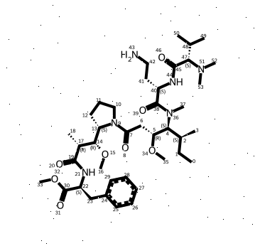 CC[C@H](C)[C@@H]([C@@H](CC(=O)N1CCC[C@H]1[C@H](OC)[C@@H](C)C(=O)N[C@@H](Cc1ccccc1)C(=O)OC)OC)N(C)C(=O)[C@H](CCN)NC(=O)[C@H](C(C)C)N(C)C